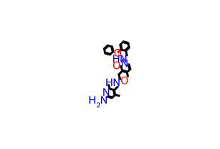 Cc1cc(N)nc(C)c1CNC(=O)Cc1c(C)ccn(NCc2ccccc2Oc2ccccc2)c1=O